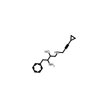 NC(Cc1ccccc1)C(O)CNCC#CC1CC1